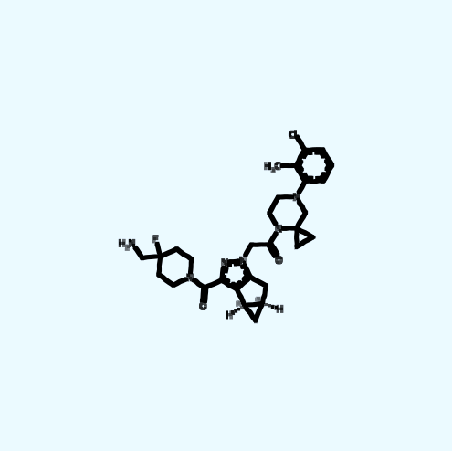 Cc1c(Cl)cccc1N1CCN(C(=O)Cn2nc(C(=O)N3CCC(F)(CN)CC3)c3c2C[C@H]2C[C@@H]32)C2(CC2)C1